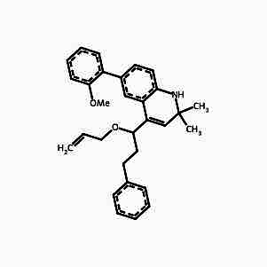 C=CCOC(CCc1ccccc1)C1=CC(C)(C)Nc2ccc(-c3ccccc3OC)cc21